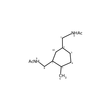 CC(=O)NCC1CCC(C)C(CNC(C)=O)C1